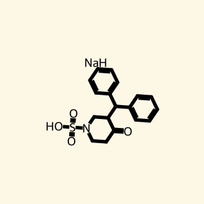 O=C1CCN(S(=O)(=O)O)CC1C(c1ccccc1)c1ccccc1.[NaH]